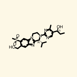 CC[C@H](O)c1cnc(N2CCn3c(nc4cc(CO)c(S(C)(=O)=O)cc43)[C@H]2C(C)C)nc1C